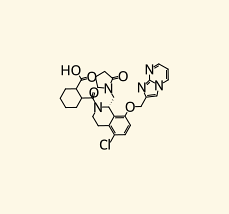 O=C(O)C1CCCCC1C(=O)N1CCc2c(Cl)ccc(OCc3cn4cccnc4n3)c2[C@H]1CN1CCCC1=O